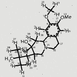 [2H]c1c2c(c([2H])c(OC([2H])([2H])[2H])c1OC)C1N(CC2)CC([2H])(C([2H])([2H])C(C)(C([2H])([2H])[2H])C([2H])([2H])[2H])C([2H])(O)C1([2H])[2H]